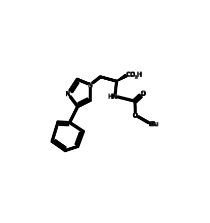 CC(C)(C)OC(=O)N[C@@H](Cn1cnc(-c2ccccc2)c1)C(=O)O